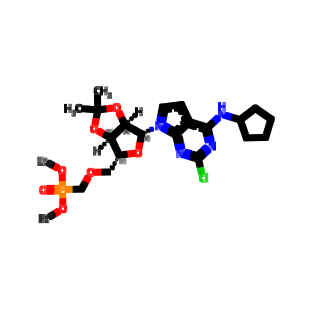 CCOP(=O)(COC[C@H]1O[C@@H](n2ccc3c(NC4CCCC4)nc(Cl)nc32)[C@@H]2OC(C)(C)O[C@@H]21)OCC